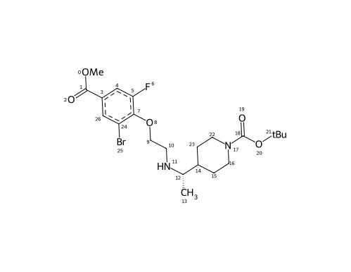 COC(=O)c1cc(F)c(OCCN[C@@H](C)C2CCN(C(=O)OC(C)(C)C)CC2)c(Br)c1